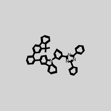 CC1(C)c2ccccc2-c2ccc(-c3ccccc3-c3ccc4c(c3)c3ccccc3n4-c3cccc(-c4nc(-c5ccccc5)nc(-c5ccccc5)n4)c3)cc21